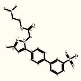 CCS(=O)(=O)c1cccc(-c2ccc(-c3cc(C)nn3CC(=O)OCCN(C)C)cc2)c1